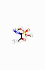 CCOP(=O)(OCC)C(=[N+]=[N-])C(=O)OCC(C)C